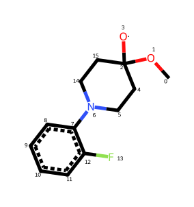 COC1([O])CCN(c2ccccc2F)CC1